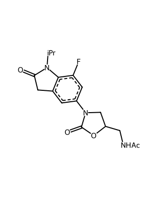 CC(=O)NCC1CN(c2cc(F)c3c(c2)CC(=O)N3C(C)C)C(=O)O1